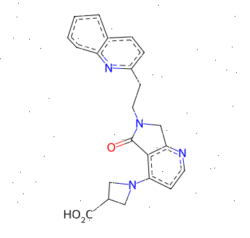 O=C(O)C1CN(c2ccnc3c2C(=O)N(CCc2ccc4ccccc4n2)C3)C1